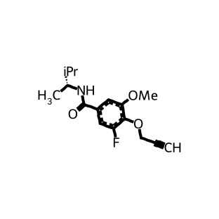 C#CCOc1c(F)cc(C(=O)N[C@H](C)C(C)C)cc1OC